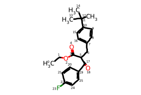 CCOC(=O)C(Cc1ccc(C(C)(C)C)cc1)C(=O)c1ccc(F)cc1